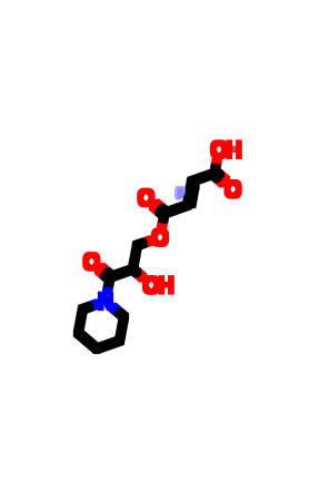 O=C(O)/C=C/C(=O)OCC(O)C(=O)N1CCCCC1